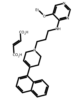 CCOc1cncnc1NCCCN1CC=C(c2cccc3ccccc23)CC1.O=C(O)C=CC(=O)O